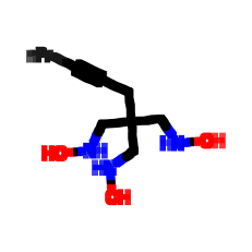 CCCC#CCC(CNO)(CNO)CNO